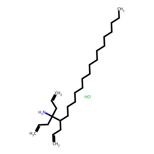 C=CCC(CCCCCCCCCCCCCCCC)C(N)(CC=C)CC=C.Cl